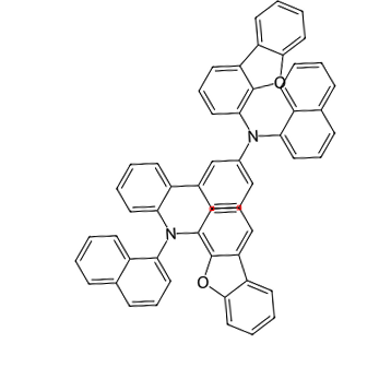 c1cc(-c2ccccc2N(c2cccc3ccccc23)c2cccc3c2oc2ccccc23)cc(N(c2cccc3ccccc23)c2cccc3c2oc2ccccc23)c1